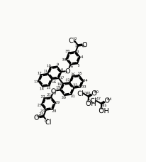 O=C(Cl)c1ccc(Oc2ccc3ccccc3c2-c2c(Oc3ccc(C(=O)Cl)cc3)ccc3ccccc23)cc1.O=C(O)Cl.O=C(O)Cl